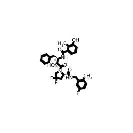 Cc1ccc(F)cc1CNC(=O)[C@@H]1CC(F)(F)CN1C(=O)[C@@H](O)[C@H](Cc1ccccc1)NC(=O)c1cccc(O)c1C